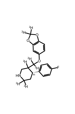 [2H]C1([2H])C[C@@H](c2ccc(F)cc2)C([2H])(C([2H])([2H])Oc2ccc3c(c2)OC([2H])([2H])O3)CN1